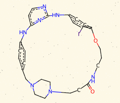 O=C1CCN2CCN(CC2)Cc2ccc(cc2)Nc2ccnc(n2)Nc2ccc(c(I)c2)OCCCN1